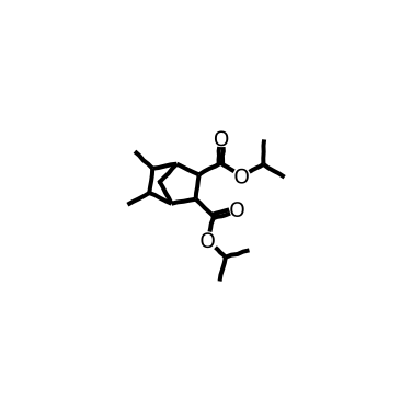 CC(C)OC(=O)C1C2CC(C(C)C2C)C1C(=O)OC(C)C